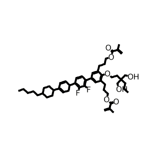 C=C(C)C(=O)OCCCc1cc(-c2ccc(C3C=CC(C4CCC(CCCCC)CC4)=CC3)c(F)c2F)cc(CCCOC(=O)C(=C)C)c1OCCC(CO)(CO)CCC